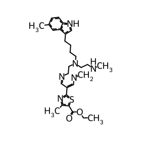 C=N/C=C(\C=N/CCN(CCCCc1c[nH]c2ccc(C)cc12)CCNC)c1nc(C)c(C(=O)OCC)s1